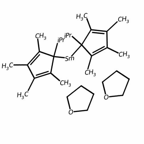 C1CCOC1.C1CCOC1.CC1=C(C)[C]([Sm][C]2(C(C)C)C(C)=C(C)C(C)=C2C)(C(C)C)C(C)=C1C